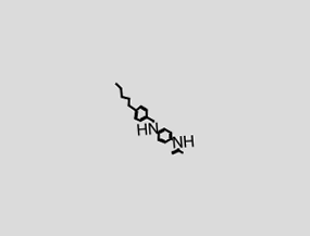 C=C(C)Nc1ccc(NCc2ccc(CCCCC)cc2)cc1